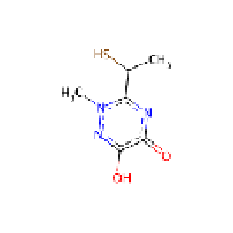 CC(S)c1nc(=O)c(O)nn1C